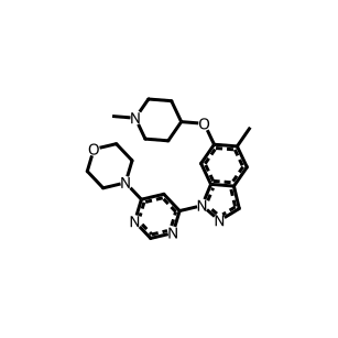 Cc1cc2cnn(-c3cc(N4CCOCC4)ncn3)c2cc1OC1CCN(C)CC1